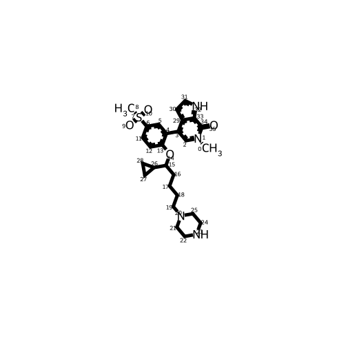 Cn1cc(-c2cc(S(C)(=O)=O)ccc2OC(CCCCN2CCNCC2)C2CC2)c2cc[nH]c2c1=O